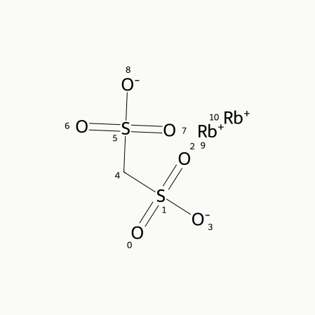 O=S(=O)([O-])CS(=O)(=O)[O-].[Rb+].[Rb+]